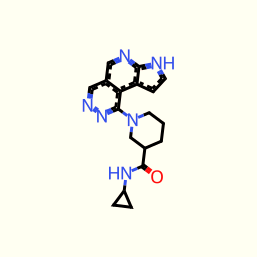 O=C(NC1CC1)C1CCCN(c2nncc3cnc4[nH]ccc4c23)C1